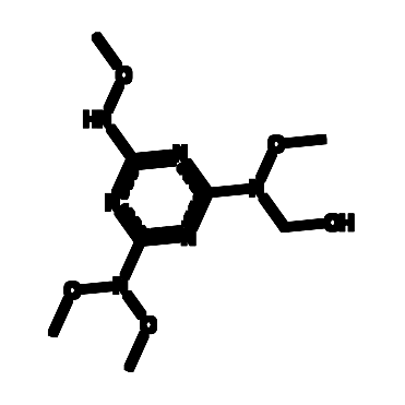 CONc1nc(N(CO)OC)nc(N(OC)OC)n1